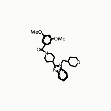 COc1cc(OC)cc(C(=O)N2CCC(c3nc4ccccc4n3CC3CCOCC3)CC2)c1